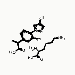 CC(C(=O)O)c1ccc(-n2cc(Cl)cn2)c(Cl)c1.NCCCC[C@H](N)C(=O)O